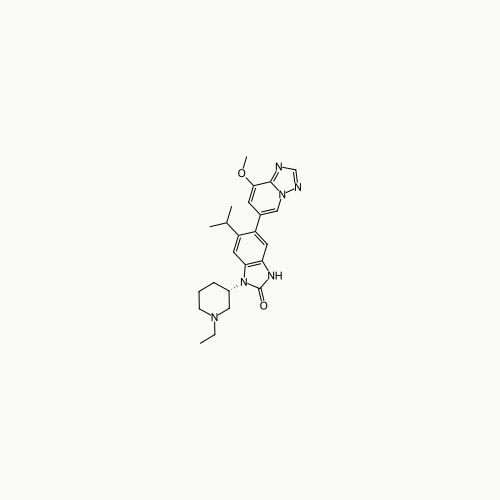 CCN1CCC[C@H](n2c(=O)[nH]c3cc(-c4cc(OC)c5ncnn5c4)c(C(C)C)cc32)C1